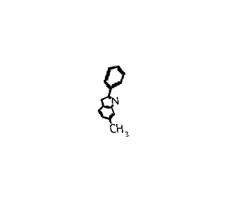 Cc1ccc2c(c1)N=C(c1ccccc1)C2